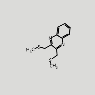 CSCc1nc2ccccc2nc1CSC